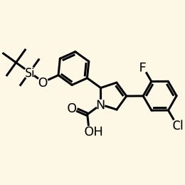 CC(C)(C)[Si](C)(C)Oc1cccc(C2C=C(c3cc(Cl)ccc3F)CN2C(=O)O)c1